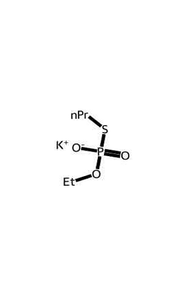 CCCSP(=O)([O-])OCC.[K+]